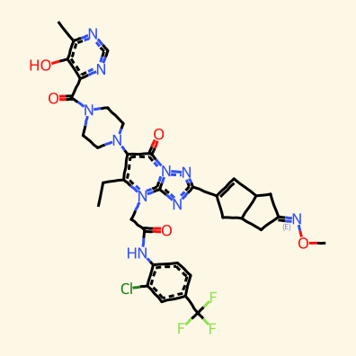 CCc1c(N2CCN(C(=O)c3ncnc(C)c3O)CC2)c(=O)n2nc(C3=CC4C/C(=N/OC)CC4C3)nc2n1CC(=O)Nc1ccc(C(F)(F)F)cc1Cl